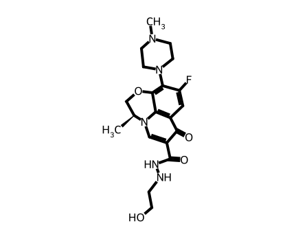 C[C@H]1COc2c(N3CCN(C)CC3)c(F)cc3c(=O)c(C(=O)NNCCO)cn1c23